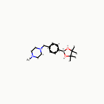 CC(=O)N1CCN(Cc2ccc(B3OC(C)(C)C(C)(C)O3)cc2)CC1